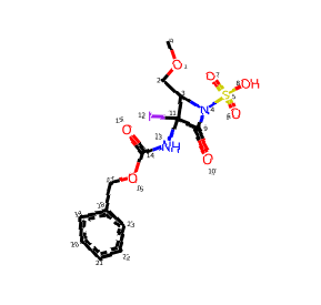 COCC1N(S(=O)(=O)O)C(=O)C1(I)NC(=O)OCc1ccccc1